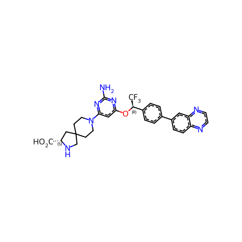 Nc1nc(O[C@H](c2ccc(-c3ccc4nccnc4c3)cc2)C(F)(F)F)cc(N2CCC3(CC2)CN[C@H](C(=O)O)C3)n1